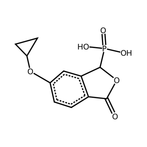 O=C1OC(P(=O)(O)O)c2cc(OC3CC3)ccc21